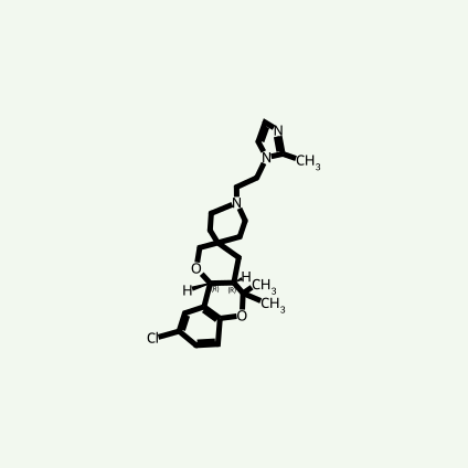 Cc1nccn1CCN1CCC2(CC1)CO[C@H]1c3cc(Cl)ccc3OC(C)(C)[C@@H]1C2